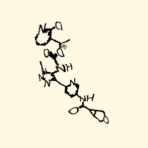 C[C@@H](OC(=O)Nc1c(-c2ccc(NC(=O)C3C4COCC43)cn2)nnn1C)c1cccnc1Cl